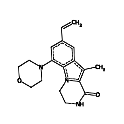 C=Cc1cc(N2CCOCC2)c2c(c1)c(C)c1n2CCNC1=O